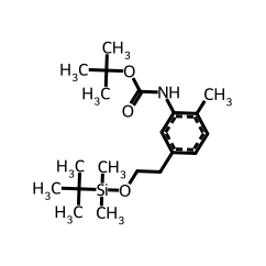 Cc1ccc(CCO[Si](C)(C)C(C)(C)C)cc1NC(=O)OC(C)(C)C